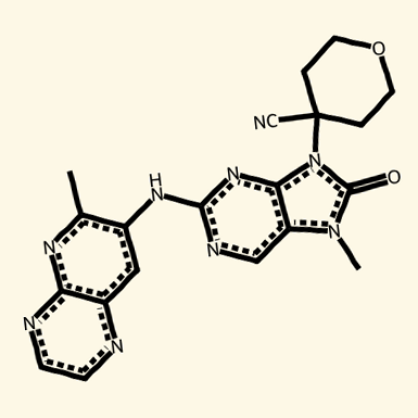 Cc1nc2nccnc2cc1Nc1ncc2c(n1)n(C1(C#N)CCOCC1)c(=O)n2C